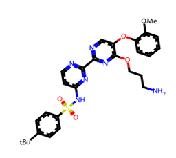 COc1ccccc1Oc1cnc(-c2nccc(NS(=O)(=O)c3ccc(C(C)(C)C)cc3)n2)nc1OCCCN